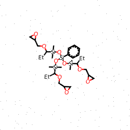 CCC(OCC1CO1)[Si](C)(C)O[Si](O[Si](C)(C)C(CC)OCC1CO1)(O[Si](C)(C)C(CC)OCC1CO1)c1ccccc1